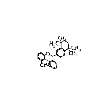 CC1(C)CCC(C)(C)c2cc(COc3cccc(C=O)c3-c3ccccc3)ccc21